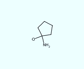 NC1([O])CCCC1